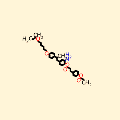 C=CC(=C)OCCCCCCOc1ccc(C(=C)Cc2ccc(OC(=O)CCc3ccc(OC(=O)C=C)cc3)c(N)c2)cc1